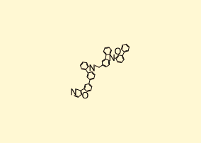 c1ccc2c(c1)oc1c(-n3c4ccccc4c4cc(CCn5c6ccccc6c6cc(-c7ccc8oc9ccncc9c8c7)ccc65)ccc43)cccc12